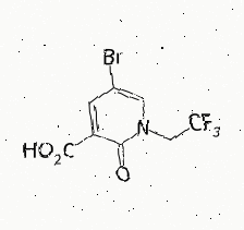 O=C(O)c1cc(Br)cn(CC(F)(F)F)c1=O